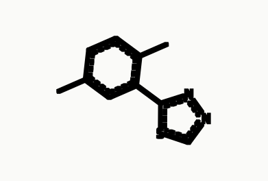 Cc1ccc(C)c(-c2nncs2)c1